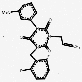 C=CCn1c(=O)n(Cc2c(F)cccc2F)c(=O)n(-c2cccc(OC)c2)c1=O